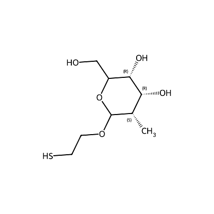 C[C@@H]1C(OCCS)OC(CO)[C@H](O)[C@@H]1O